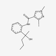 CCCC(C)(O)c1ccccc1NC(=O)c1cn(C)nc1I